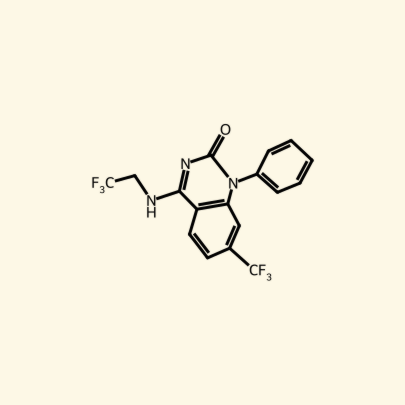 O=c1nc(NCC(F)(F)F)c2ccc(C(F)(F)F)cc2n1-c1ccccc1